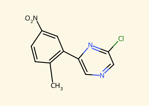 Cc1ccc([N+](=O)[O-])cc1-c1cncc(Cl)n1